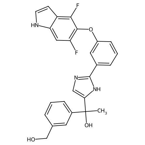 CC(O)(c1cccc(CO)c1)c1cnc(-c2cccc(Oc3c(F)cc4[nH]ccc4c3F)c2)[nH]1